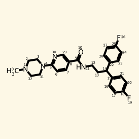 CN1CCN(c2ccc(C(=O)NCCC(c3ccc(F)cc3)c3ccc(F)cc3)cn2)CC1